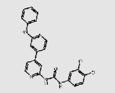 O=C(Nc1ccc(Cl)c(Cl)c1)Nc1cc(-c2ccnc(Nc3ccccc3)c2)ccn1